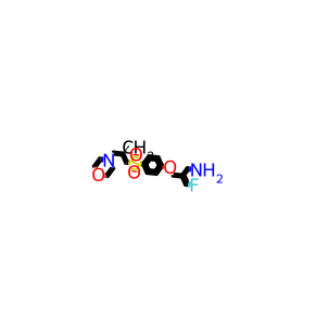 C[C@@H](CN1CCOCC1)CS(=O)(=O)c1ccc(OC/C(=C/F)CN)cc1